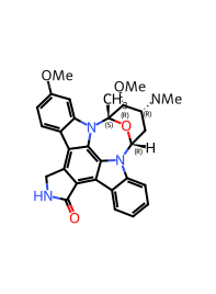 CN[C@@H]1C[C@H]2O[C@@](C)([C@@H]1OC)n1c3cc(OC)ccc3c3c4c(c5c6ccccc6n2c5c31)C(=O)NC4